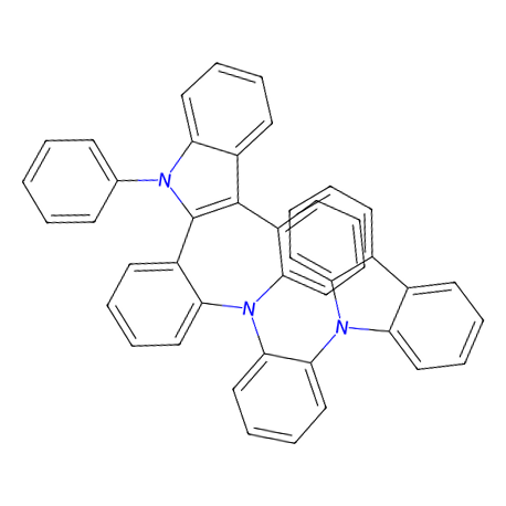 c1ccc(-n2c3c(c4ccccc42)-c2ccccc2N(c2ccccc2-n2c4ccccc4c4ccccc42)c2ccccc2-3)cc1